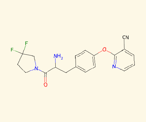 N#Cc1cccnc1Oc1ccc(CC(N)C(=O)N2CCC(F)(F)C2)cc1